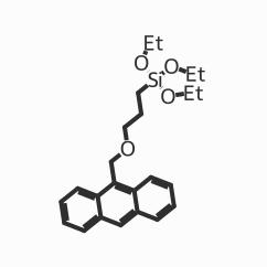 CCO[Si](CCCOCc1c2ccccc2cc2ccccc12)(OCC)OCC